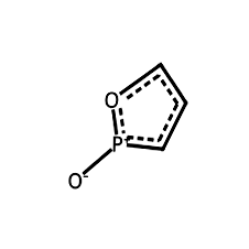 [O-][p+]1ccco1